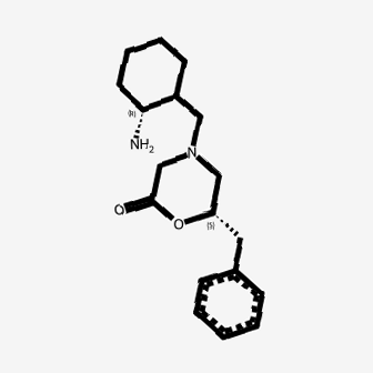 N[C@@H]1CCCCC1CN1CC(=O)O[C@@H](Cc2ccccc2)C1